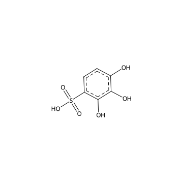 O=S(=O)(O)c1ccc(O)c(O)c1O